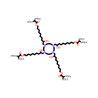 CCCCCCCCC(CCCCCC)C(=O)OCCCCCCCCC(O)CN1CCCN(CC(O)CCCCCCCCOC(=O)C(CCCCCC)CCCCCCCC)CCN(CC(O)CCCCCCCCOC(=O)C(CCCCCC)CCCCCCCC)CCCN(CC(O)CCCCCCCCOC(=O)C(CCCCCC)CCCCCCCC)CC1